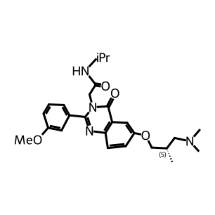 COc1cccc(-c2nc3ccc(OC[C@@H](C)CN(C)C)cc3c(=O)n2CC(=O)NC(C)C)c1